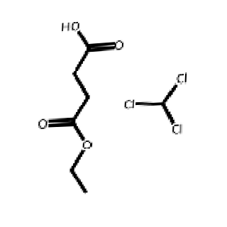 CCOC(=O)CCC(=O)O.ClC(Cl)Cl